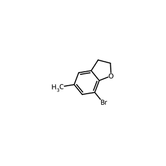 Cc1cc(Br)c2c(c1)CCO2